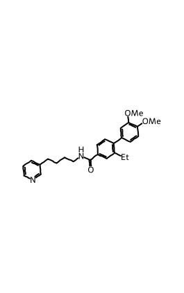 CCc1cc(C(=O)NCCCCc2cccnc2)ccc1-c1ccc(OC)c(OC)c1